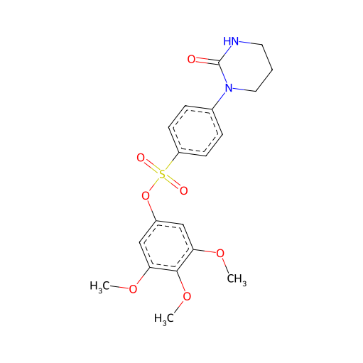 COc1cc(OS(=O)(=O)c2ccc(N3CCCNC3=O)cc2)cc(OC)c1OC